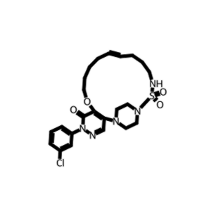 O=c1c2c(cnn1-c1cccc(Cl)c1)N1CCN(CC1)S(=O)(=O)NCCC/C=C/CCCCO2